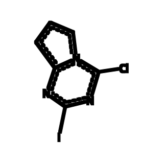 Clc1nc(I)nc2cccn12